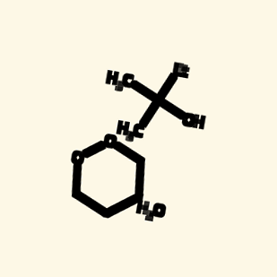 C1CCOOC1.CCC(C)(C)O.O